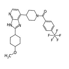 COC1CCC(c2nc3c(C4CCN(C(=O)c5ccc(S(F)(F)(F)(F)F)cc5)CC4)ccnc3[nH]2)CC1